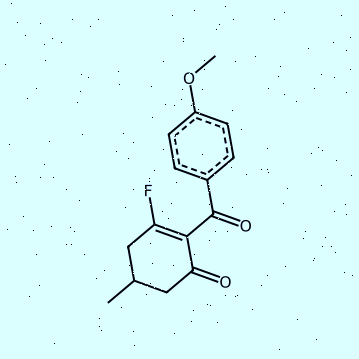 COc1ccc(C(=O)C2=C(F)CC(C)CC2=O)cc1